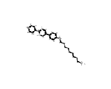 CCCCCCCCCCOc1ccc(-c2cnc(-c3ccncc3)nc2)cc1